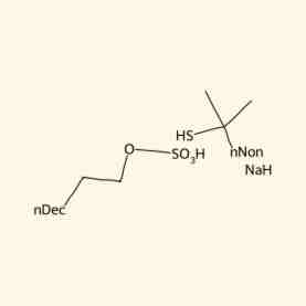 CCCCCCCCCC(C)(C)S.CCCCCCCCCCCCOS(=O)(=O)O.[NaH]